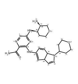 NC(=O)c1nnc(N[C@@H]2CCOC[C@@H]2N)nc1NC1=CC2C=NN(C3CCOCC3)C2C=C1